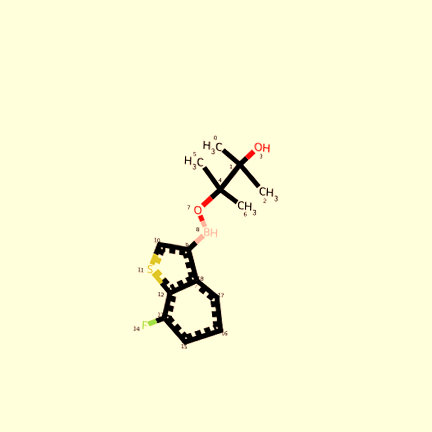 CC(C)(O)C(C)(C)OBc1csc2c(F)cccc12